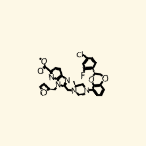 COC(=O)c1ccc2nc(CN3CCN(c4cccc5c4O[C@@H](c4ccc(Cl)cc4F)CO5)C[C@@H]3C)n(C[C@@H]3CCO3)c2n1